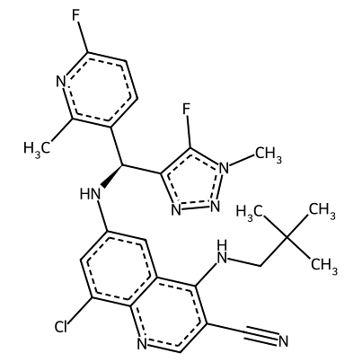 Cc1nc(F)ccc1[C@H](Nc1cc(Cl)c2ncc(C#N)c(NCC(C)(C)C)c2c1)c1nnn(C)c1F